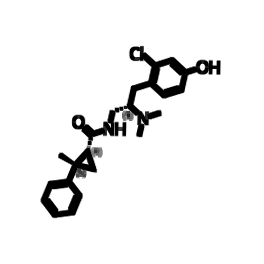 CN(C)[C@H](CNC(=O)[C@@H]1C[C@]1(C)c1ccccc1)Cc1ccc(O)cc1Cl